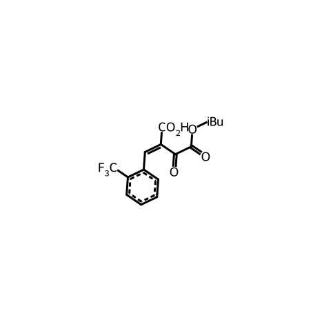 CCC(C)OC(=O)C(=O)C(=Cc1ccccc1C(F)(F)F)C(=O)O